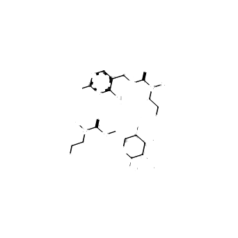 CO[C@H]1O[C@H](CNC(=O)N(CCCl)N=O)[C@@H](O)[C@H](O)[C@H]1O.Cc1ncc(CNC(=O)N(CCCl)N=O)c(N)n1